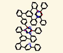 c1ccc(-c2ccc(-c3ccccc3-c3cc(-c4ccccc4-c4ccc(-c5ncc(-c6ccccc6-c6cc(-c7ccccc7-c7ccc(-c8ccccc8)nc7)cc(-c7ccccc7-c7ccc(-c8ccccc8)nc7)c6)cn5)cc4)cc(-c4ccccc4-c4ccc(-c5ccccc5)nc4)c3)cn2)cc1